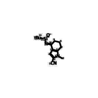 Cn1c(C#N)cc2c1CCCC2=N[S@+]([O-])C(C)(C)C